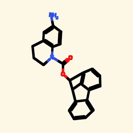 Nc1ccc2c(c1)CCCN2C(=O)OC1c2cccc3c2C1c1ccccc1-3